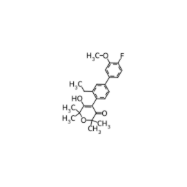 CCc1cc(-c2ccc(F)c(OC)c2)ccc1C1=C(O)C(C)(C)OC(C)(C)C1=O